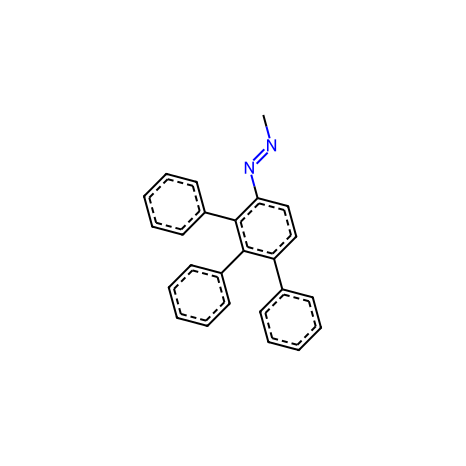 CN=Nc1ccc(-c2ccccc2)c(-c2ccccc2)c1-c1ccccc1